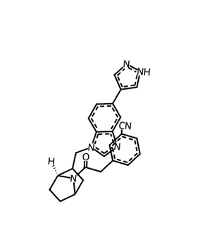 N#Cc1cccc(CC(=O)N2C3CC[C@H]2C(Cn2cnc4cc(-c5cn[nH]c5)ccc42)C3)c1